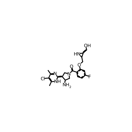 CC1=N/C(=C2\CN(C(=O)c3ccc(F)cc3OCC3N/C3=C\O)CC2N)NC(C)=C1Cl